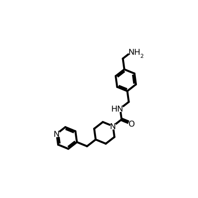 NCc1ccc(CNC(=O)N2CCC(Cc3ccncc3)CC2)cc1